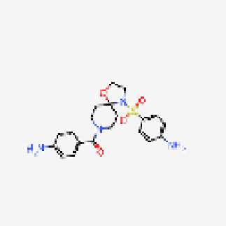 Nc1ccc(C(=O)N2CCC3(CC2)OCCN3S(=O)(=O)c2ccc(N)cc2)cc1